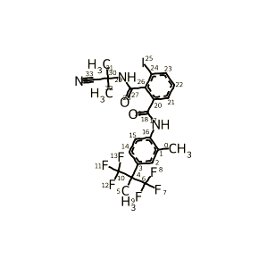 Cc1cc(C(C)(C(F)(F)F)C(F)(F)F)ccc1NC(=O)c1cccc(I)c1C(=O)NC(C)(C)C#N